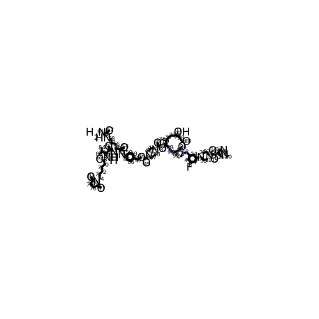 C/C(=C\c1cc(F)cc(N2CCN(S(=O)(=O)c3cnn(C)c3)CC2)c1)[C@H]1OC(=O)C[C@H](O)CC[C@H](C)[C@@H](OC(=O)N2CCN(C(=O)OCc3ccc(NC(=O)[C@H](CCCNC(N)=O)NC(=O)[C@@H](NC(=O)CCCCCN4C(=O)C=CC4=O)C(C)C)cc3)CC2)/C=C/[C@@H]1C